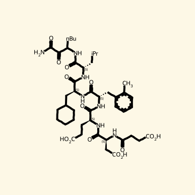 CCCCC(NC(=O)[C@H](CC(C)C)NC(=O)[C@H](CC1CCCCC1)NC(=O)[C@H](Cc1ccccc1C)NC(=O)[C@H](CCC(=O)O)NC(=O)[C@H](CC(=O)O)NC(=O)CCC(=O)O)C(=O)C(N)=O